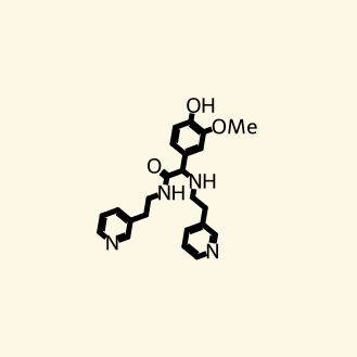 COc1cc(C(NCCc2cccnc2)C(=O)NCCc2cccnc2)ccc1O